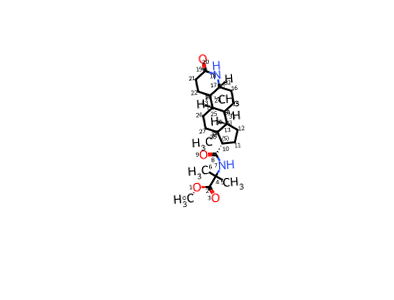 COC(=O)C(C)(C)NC(=O)[C@H]1CC[C@H]2[C@@H]3CC[C@H]4NC(=O)CC[C@]4(C)[C@H]3CC[C@]12C